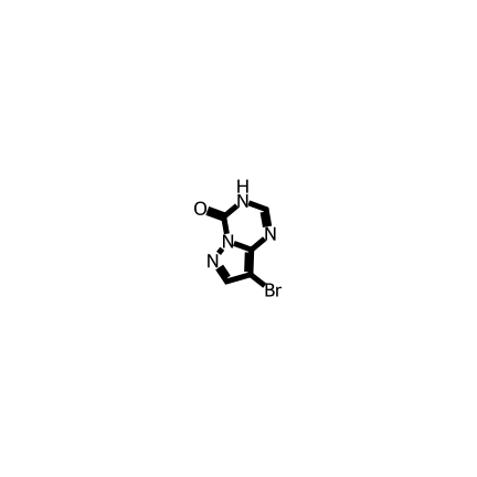 O=c1[nH]cnc2c(Br)cnn12